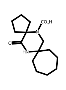 O=C(O)N1CC2(CCCCCC2)NC(=O)C12CCCC2